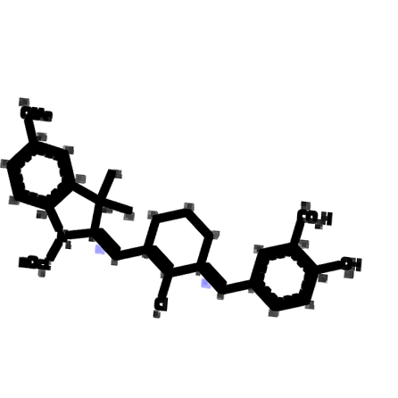 CCCCCCCCN1/C(=C/C2=C(Cl)C(=C/c3ccc(O)c(C(=O)O)c3)/CCC2)C(C)(C)c2cc(OC)ccc21